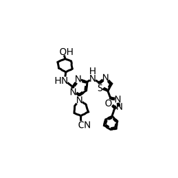 N#CC1CCN(c2cc(Nc3ncc(-c4nnc(-c5ccccc5)o4)s3)nc(NC3CCC(O)CC3)n2)CC1